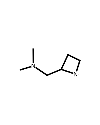 CN(C)CC1CC[N]1